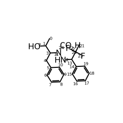 CC(O)C(Cc1ccccc1)N(NC(c1ccccc1)C(C)(F)F)C(=O)O